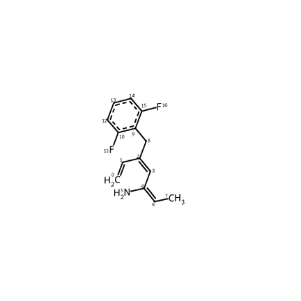 C=C/C(=C\C(N)=C/C)Cc1c(F)cccc1F